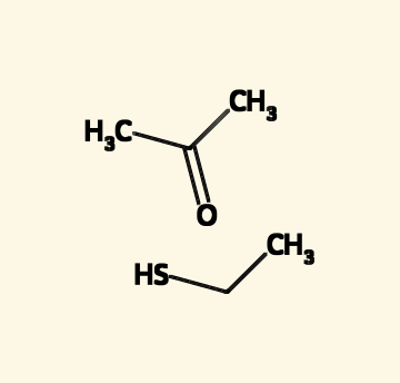 CC(C)=O.CCS